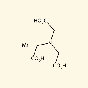 O=C(O)CN(CC(=O)O)CC(=O)O.[Mn]